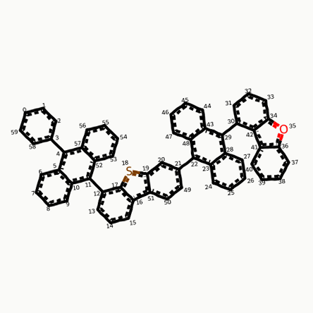 c1ccc(-c2c3ccccc3c(-c3cccc4c3sc3cc(-c5c6ccccc6c(-c6cccc7oc8ccccc8c67)c6ccccc56)ccc34)c3ccccc23)cc1